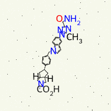 Cc1nc(C(N)=O)nn1-c1ccc2c(ccn2Cc2ccc([C@H]3C[C@@H]4CN(C(=O)O)C[C@@H]4C3)cc2)c1